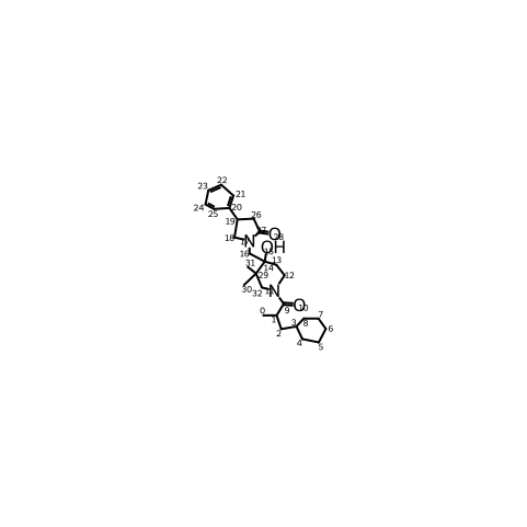 CC(CC1CCCCC1)C(=O)N1CCC(O)(CN2CC(c3ccccc3)CC2=O)C(C)(C)C1